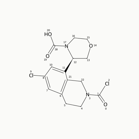 O=C(Cl)N1CCc2cc(Cl)cc([C@@H]3COCCN3C(=O)O)c2C1